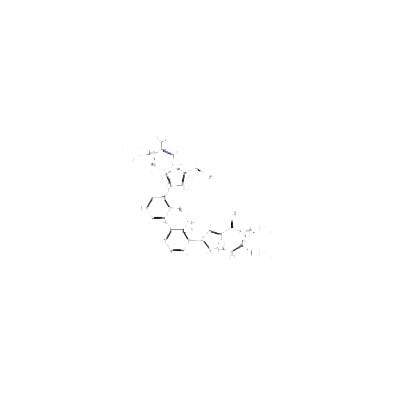 C/C(=C/n1cc(-c2cccc(-c3cccc(-c4cc5c(=O)n(C)c(C)cn5c4)c3Cl)c2Cl)cc1C=O)N(C)C